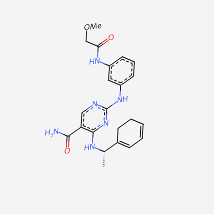 COCC(=O)Nc1cccc(Nc2ncc(C(N)=O)c(N[C@@H](C)C3=CC=CCC3)n2)c1